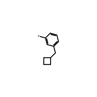 Fc1[c]ccc(CC2CCC2)c1